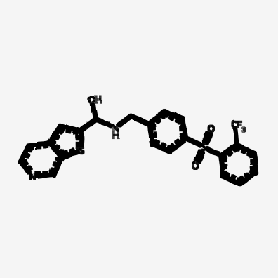 O=S(=O)(c1ccc(CNC(O)c2cc3ccncc3s2)cc1)c1ccccc1C(F)(F)F